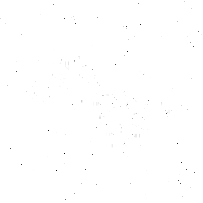 CC(C)C[C@H](NC(=O)[C@H](CC(=O)O)NC(=O)[C@H](CCC(N)=O)NC(=O)[C@H](CCCCN)NC(=O)[C@@H](NC(=O)[C@H](CC(C)C)NC(=O)[C@@H]1CCCN1C(=O)[C@@H](NC(=O)[C@@H]1CCCN1C(=O)[C@H](CCC(=O)O)NC(=O)[C@H](C)N)C(C)C)C(C)C)C(=O)N[C@@H](C)C(=O)O